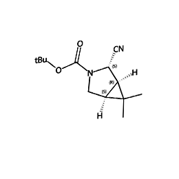 CC(C)(C)OC(=O)N1C[C@H]2[C@@H]([C@H]1C#N)C2(C)C